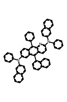 c1ccc(-c2c3ccc(N(c4ccccc4)c4ccc5ccccc5c4)cc3c(-c3cccc4ccccc34)c3ccc(N(c4ccccc4)c4ccc5ccccc5c4)nc23)cc1